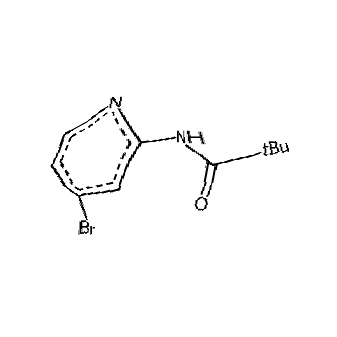 CC(C)(C)C(=O)Nc1cc(Br)ccn1